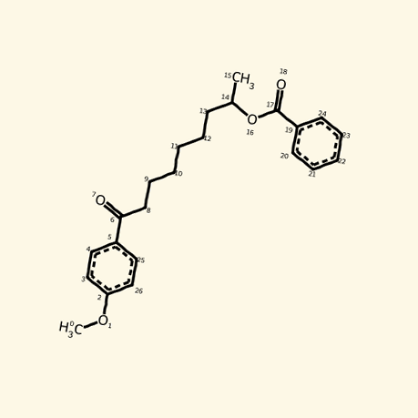 COc1ccc(C(=O)CCCCCCC(C)OC(=O)c2ccccc2)cc1